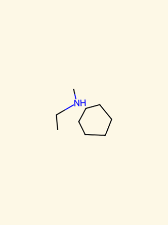 C1CCCCC1.CCNC